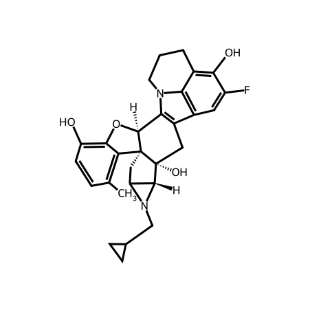 Cc1ccc(O)c2c1[C@]13CC4[C@@H](N4CC4CC4)[C@]1(O)Cc1c(n4c5c(c(O)c(F)cc15)CCC4)[C@@H]3O2